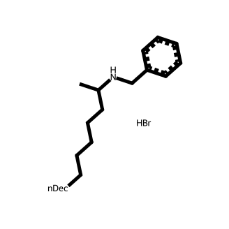 Br.CCCCCCCCCCCCCCCC(C)NCc1ccccc1